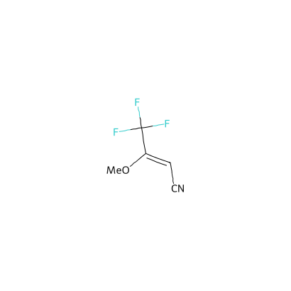 CO/C(=C\C#N)C(F)(F)F